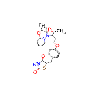 Cc1oc(C(C)Oc2ccccn2)nc1CCOc1ccc(CC2SC(=O)NC2=O)cc1